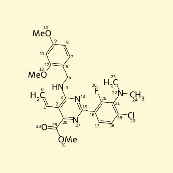 C=Cc1c(NCc2ccc(OC)cc2OC)nc(-c2ccc(Cl)c(N(C)C)c2F)nc1C(=O)OC